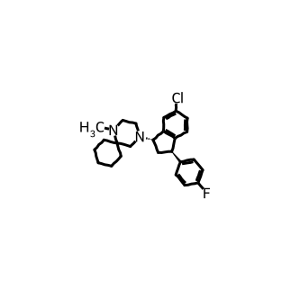 CN1CCN([C@H]2C[C@H](c3ccc(F)cc3)c3ccc(Cl)cc32)CC12CCCCC2